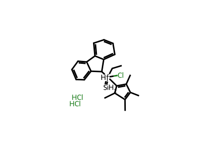 C[CH2][Hf](=[SiH2])([Cl])([C]1=C(C)C(C)=C(C)C1C)[CH]1c2ccccc2-c2ccccc21.Cl.Cl